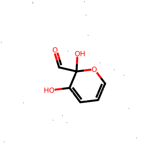 O=CC1(O)OC=CC=C1O